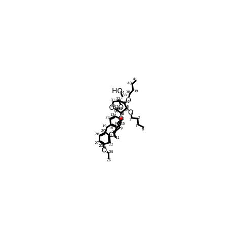 CCCCO[C@@H]1[C@@H](OCCCC)[C@@]2(c3ccc(Cl)c(Cc4ccc(OCC)cc4)c3)OC[C@](CO)(O2)[C@H]1OCCCC